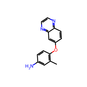 Cc1cc(N)ccc1Oc1ccc2nccnc2c1